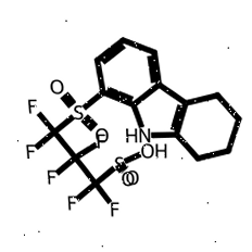 O=S(=O)(O)C(F)(F)C(F)(F)C(F)(F)S(=O)(=O)c1cccc2c3c([nH]c12)CCCC3